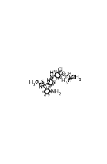 Cc1nc(-c2cccc(N)c2)c(-c2ccnc(Nc3ccc(OCCN(C)C)c(Cl)c3)n2)s1